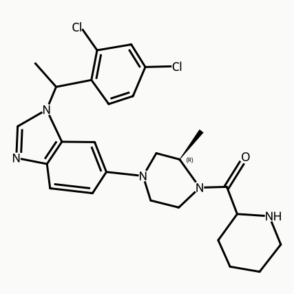 CC(c1ccc(Cl)cc1Cl)n1cnc2ccc(N3CCN(C(=O)C4CCCCN4)[C@H](C)C3)cc21